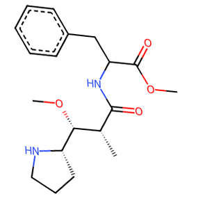 COC(=O)C(Cc1ccccc1)NC(=O)[C@H](C)[C@@H](OC)[C@@H]1CCCN1